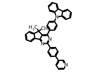 CC1(C)c2ccccc2-c2nc(-c3ccc(-c4cccnc4)cc3)nc(-c3ccc(-n4c5ccccc5c5ccccc54)cc3)c21